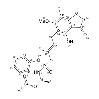 CCC(=O)O[C@H](C)NP(=O)(C/C(C)=C/Cc1c(O)c2c(c(C)c1OC)COC2=O)Oc1ccccc1